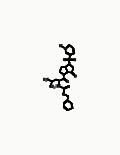 CC(C)CC(NC(=O)OCc1ccccc1)C(=O)N1CCC2C1C(=O)CN2S(=O)(=O)c1ccc[n+]([O-])c1